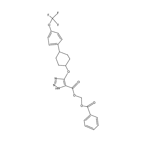 O=C(OCOC(=O)c1[nH]nnc1OC1CCC(c2ccc(OC(F)(F)F)cc2)CC1)c1ccccc1